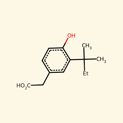 CCC(C)(C)c1cc(CC(=O)O)ccc1O